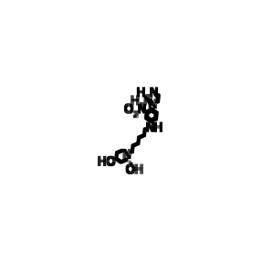 N/C=C\N(N)c1ccc(NCCCCCCN2CC[C@@H](O)C[C@H]2CO)cc1[N+](=O)[O-]